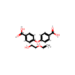 C=COCCO.O=C(O)c1ccc(Oc2ccc(C(=O)O)cc2)cc1